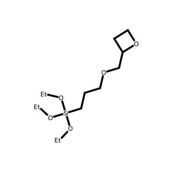 CCO[Si](CCCOCC1CCO1)(OCC)OCC